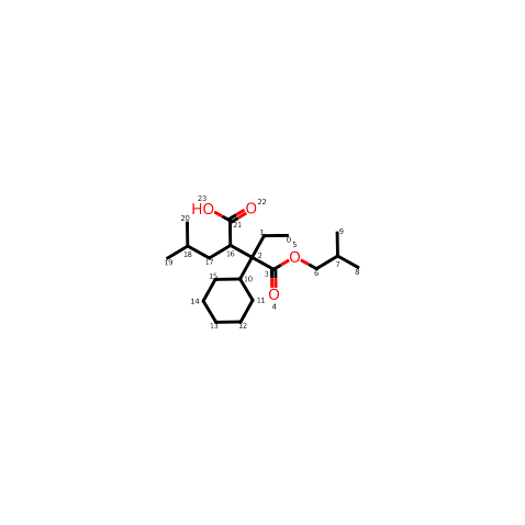 CCC(C(=O)OCC(C)C)(C1CCCCC1)C(CC(C)C)C(=O)O